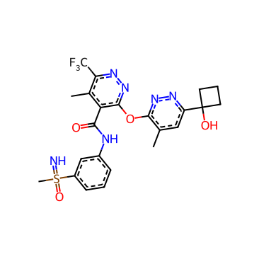 Cc1cc(C2(O)CCC2)nnc1Oc1nnc(C(F)(F)F)c(C)c1C(=O)Nc1cccc(S(C)(=N)=O)c1